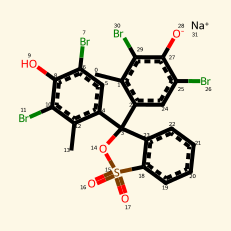 Cc1c(C2(c3cc(Br)c(O)c(Br)c3C)OS(=O)(=O)c3ccccc32)cc(Br)c([O-])c1Br.[Na+]